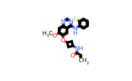 C=CC(=O)NC1CC(Oc2cc3c(Nc4ccccc4F)ncnc3cc2OC)C1